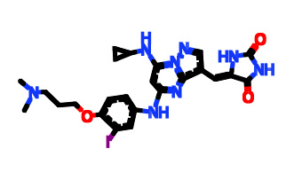 CN(C)CCCOc1ccc(Nc2cc(NC3CC3)n3ncc(/C=C4\NC(=O)NC4=O)c3n2)cc1I